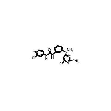 Cc1nc(Cl)cc(N(C)c2cccc(NC(=O)Nc3ccc(F)c(Cl)c3)c2)n1